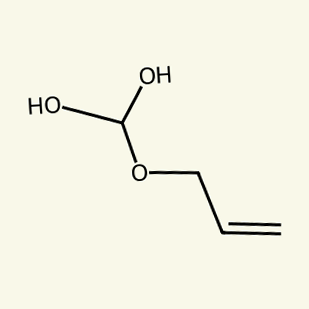 C=CCOC(O)O